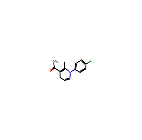 COC(=O)C1=C(C)N(c2ccc(Cl)cc2)C=CC1